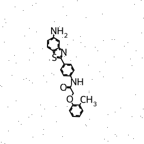 Cc1ccccc1OCC(=O)Nc1ccc(-c2nc3cc(N)ccc3s2)cc1